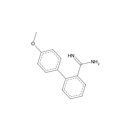 COc1ccc(-c2ccccc2C(=N)N)cc1